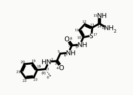 C[C@@H](NC(=O)CNC(=O)Nc1ccc(C(=N)N)s1)c1ccccc1